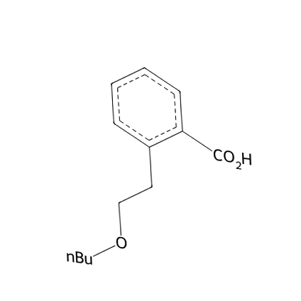 CCCCOCCc1ccccc1C(=O)O